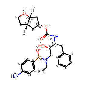 CC(C)CN(C[C@@H](O)[C@H](Cc1ccccc1)NC(=O)O[C@@H]1C[C@@H]2CCO[C@@H]2C1)[S+]([O-])c1ccc(N)cc1